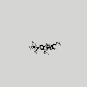 CCCc1[nH]c(C(=O)NC2CCN(C(=O)OC(C)(C)C)CC2OC)nc1Cl